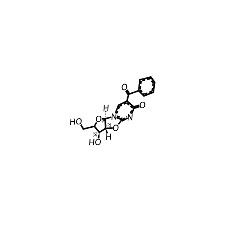 O=C(c1ccccc1)c1cn2c(nc1=O)O[C@H]1[C@H]2OC(CO)[C@@H]1O